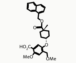 COCc1cc(OC)c(C(=O)O)cc1O[C@H]1CC[C@@](C)(C(=O)OCc2cccc3ccccc23)CC1